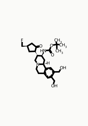 CC(C)(C)OC(=O)N[C@H]1C[C@H]2c3cc(CO)c(CO)cc3CCN2C[C@@H]1C1C[C@@H](CF)CC1=O